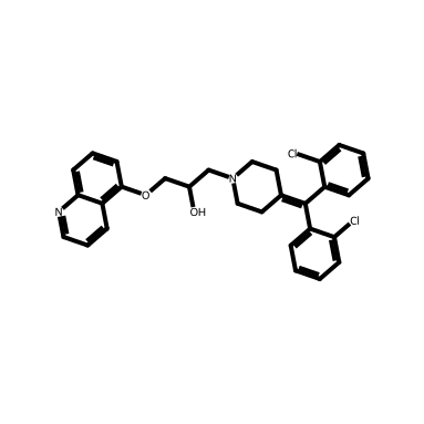 OC(COc1cccc2ncccc12)CN1CCC(=C(c2ccccc2Cl)c2ccccc2Cl)CC1